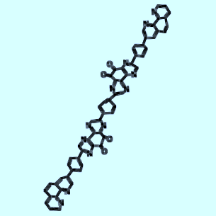 O=C1C(=O)c2nc(-c3ccc(-c4cnc5c(n4)C(=O)C(=O)c4nc(-c6ccc(-c7cnc8c(ccc9cccnc98)c7)cc6)cnc4-5)cc3)cnc2-c2ncc(-c3ccc(-c4cnc5c(ccc6cccnc65)c4)cc3)nc21